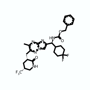 Cc1nc2nc([C@@H](NC(=O)OCc3ccccc3)C3CCC(F)(F)CC3)cn2nc1C[C@H]1C[C@@H](C(F)(F)F)CNC1=O